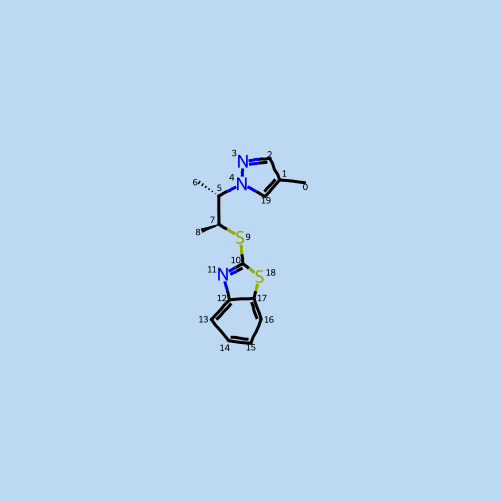 Cc1cnn([C@@H](C)[C@H](C)Sc2nc3ccccc3s2)c1